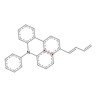 C=C/C=C/c1ccc(-c2ccccc2N(c2ccccc2)c2ccccc2)cc1